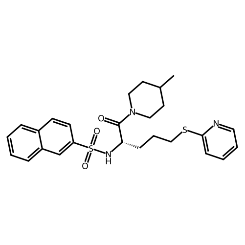 CC1CCN(C(=O)[C@H](CCCSc2ccccn2)NS(=O)(=O)c2ccc3ccccc3c2)CC1